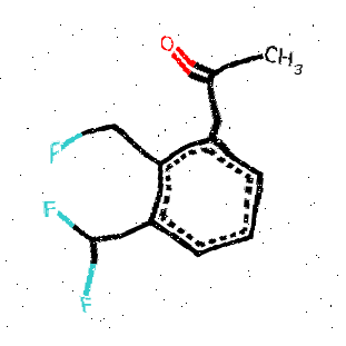 CC(=O)c1cccc(C(F)F)c1CF